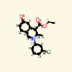 CCOC(=O)c1c2cc(=O)ccc-2cn(-c2cccc(Cl)c2)c1C